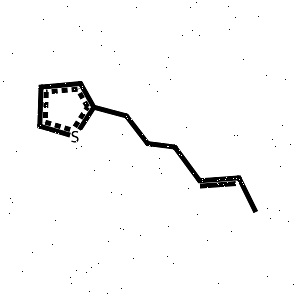 CC=CCCCc1cccs1